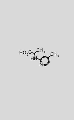 Cc1ccnc(NC(C)C(=O)O)c1